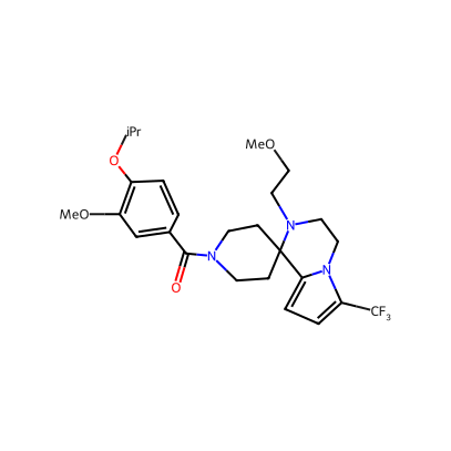 COCCN1CCn2c(C(F)(F)F)ccc2C12CCN(C(=O)c1ccc(OC(C)C)c(OC)c1)CC2